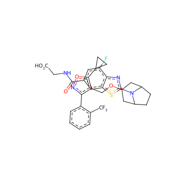 O=C(O)CNC(=O)c1cc(F)c2nc(N3C4CCC3CC(OCc3c(-c5ccccc5C(F)(F)F)noc3C3CC3)C4)sc2c1